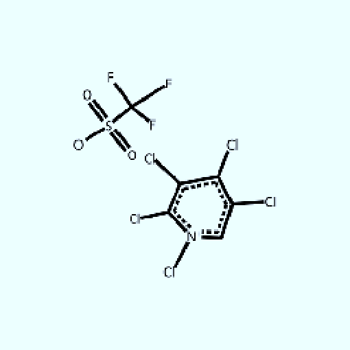 Clc1c[n+](Cl)c(Cl)c(Cl)c1Cl.O=S(=O)([O-])C(F)(F)F